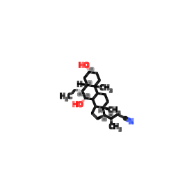 CC[C@H]1[C@@H](O)C2C(CC[C@@]3(C)C2CC[C@@H]3[C@H](C)CC#N)C2(C)CC[C@@H](O)C[C@@H]12